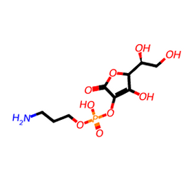 NCCCOP(=O)(O)OC1=C(O)C([C@@H](O)CO)OC1=O